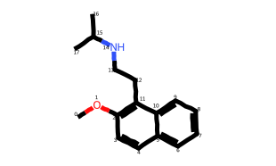 COc1ccc2ccccc2c1CCNC(C)C